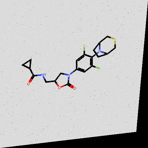 O=C(NCC1CN(c2cc(F)c(N3C4CCC3CSC4)c(F)c2)C(=O)O1)C1CC1